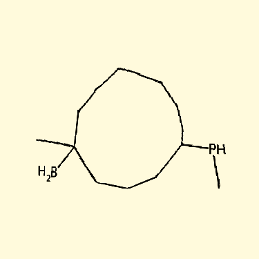 BC1(C)CCCCCC(PC)CCC1